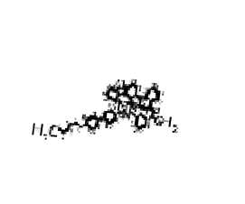 C=C/C=C\C=C/Cc1ccc(-c2ccc(-c3nc(-c4ccccc4)nc(-c4c(C/C=C\C(=C/C=C)c5ccccc5)ccc5oc6ccccc6c45)n3)cc2)cc1